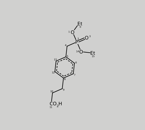 CCOP(=O)(Cc1ccc(CCC(=O)O)cc1)OCC